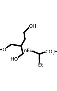 CCCCC(CC)C(=O)O.OCCC(CO)CO